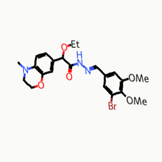 CCOC(C(=O)N/N=C/c1cc(Br)c(OC)c(OC)c1)c1ccc2c(c1)OCCN2C